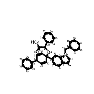 O=C(O)C(OC1(c2ccc3ccn(Cc4ccccc4)c3c2)C=CC(c2ccccc2)C=C1)c1ccccc1